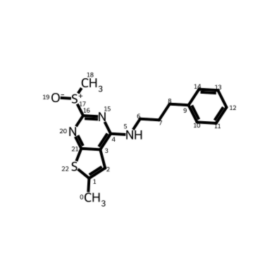 Cc1cc2c(NCCCc3ccccc3)nc([S+](C)[O-])nc2s1